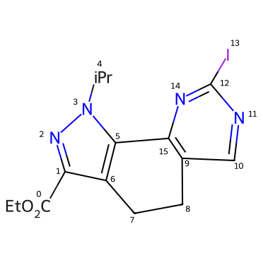 CCOC(=O)c1nn(C(C)C)c2c1CCc1cnc(I)nc1-2